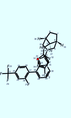 Cc1cc(N2C[C@H]3CC[C@@H](C2)[C@@H]3Nc2nc3c(-c4ccc(C(F)(F)F)cc4F)cccn3n2)sn1